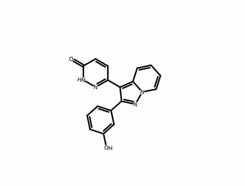 O=c1ccc(-c2c(-c3cccc(O)c3)nn3ccccc23)n[nH]1